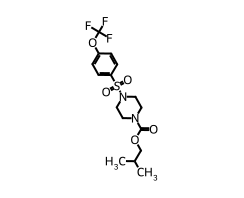 CC(C)COC(=O)N1CCN(S(=O)(=O)c2ccc(OC(F)(F)F)cc2)CC1